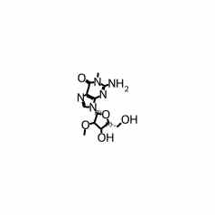 COC1C(O)[C@@H](CO)O[C@H]1n1cnc2c(=O)n(C)c(N)nc21